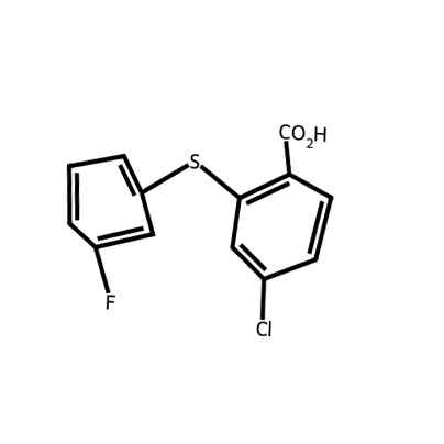 O=C(O)c1ccc(Cl)cc1Sc1cccc(F)c1